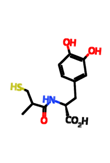 CC(CS)C(=O)N[C@@H](Cc1ccc(O)c(O)c1)C(=O)O